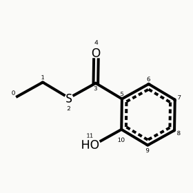 CCSC(=O)c1ccccc1O